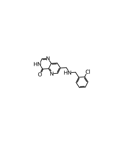 O=c1[nH]cnc2cc(CNCc3ccccc3Cl)cnc12